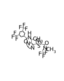 CC(NC(=O)c1cc(C(F)(F)F)cc(C(F)(F)F)c1)c1nccnc1-c1ncc(C(=O)N(C)CC(F)(F)F)s1